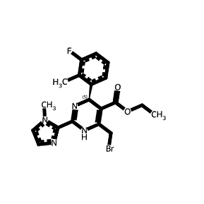 CCOC(=O)C1=C(CBr)NC(c2nccn2C)=N[C@H]1c1cccc(F)c1C